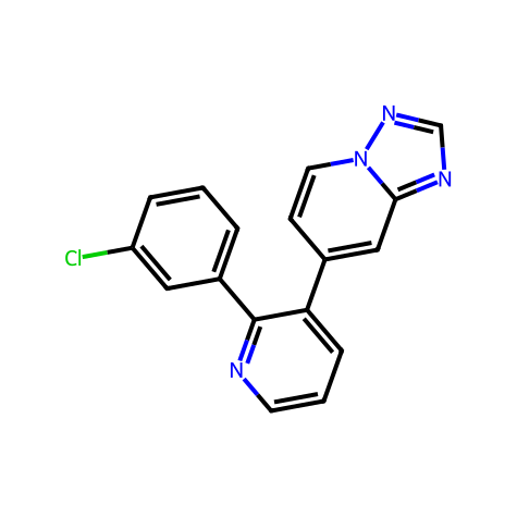 Clc1cccc(-c2ncccc2-c2ccn3ncnc3c2)c1